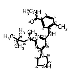 CNC(=O)c1ccc(C)c(Nc2nc(N(C)CC(C)(C)C)nc(N3CCNCC3)n2)c1